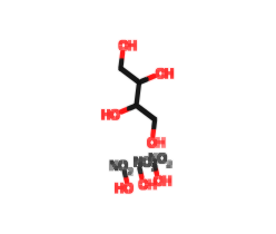 O=[N+]([O-])O.O=[N+]([O-])O.O=[N+]([O-])O.OCC(O)C(O)CO